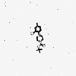 Cc1ccc(N2CCN(C(=O)OC(C)(C)C)CC2)c(Cl)c1